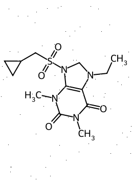 CCN1CN(S(=O)(=O)CC2CC2)c2c1c(=O)n(C)c(=O)n2C